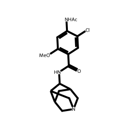 COc1cc(NC(C)=O)c(Cl)cc1C(=O)NC1C2CC3CN(C2)CC31